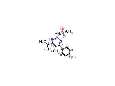 CC1=C(C(C)C)NC(NS(C)(=O)=O)N=C1c1ccc(F)cc1